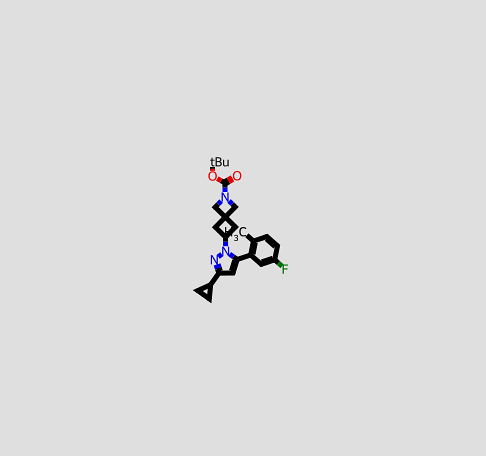 Cc1ccc(F)cc1-c1cc(C2CC2)nn1C1CC2(C1)CN(C(=O)OC(C)(C)C)C2